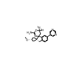 [2H]C1([2H])CC2(N=C(N)O1)c1cc(-c3cncnc3)ccc1C[C@]21CC[C@@H](OC)CC1